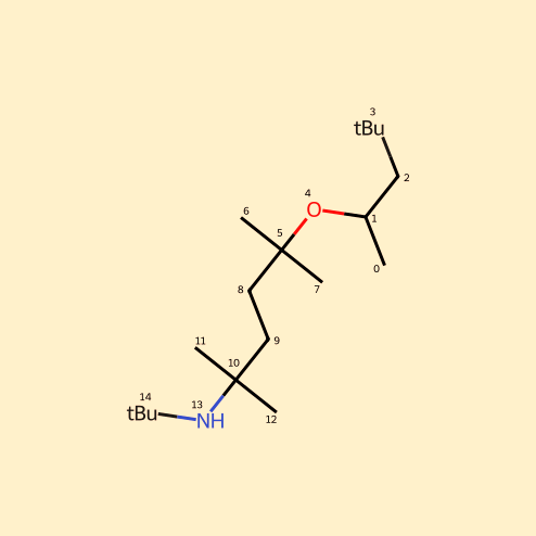 CC(CC(C)(C)C)OC(C)(C)CCC(C)(C)NC(C)(C)C